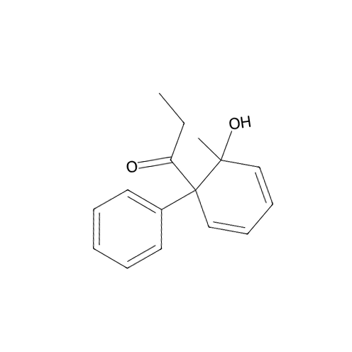 CCC(=O)C1(c2ccccc2)C=CC=CC1(C)O